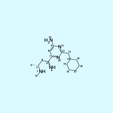 CN[C@H](C)CC(=N)c1cc(N)nc(CC2CCCCC2)n1